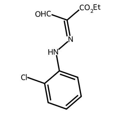 CCOC(=O)C(C=O)=NNc1ccccc1Cl